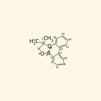 CC1(C)COB(c2ccccc2-c2ccccc2)O1